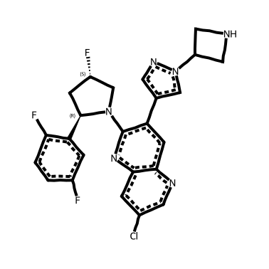 Fc1ccc(F)c([C@H]2C[C@H](F)CN2c2nc3cc(Cl)cnc3cc2-c2cnn(C3CNC3)c2)c1